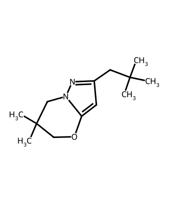 CC(C)(C)Cc1cc2n(n1)CC(C)(C)CO2